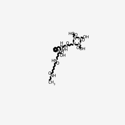 CCCCNC(=O)CCCCCCC(=O)NCCCCC(NC(=O)C(Cc1ccccc1)NC(=O)CNC(=O)CCCN1CCN(CC(=O)O)CCN(CC(=O)O)CCN(CC(=O)O)CC1)C(=O)O